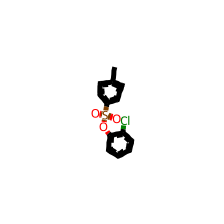 Cc1ccc(S(=O)(=O)Oc2ccccc2Cl)cc1